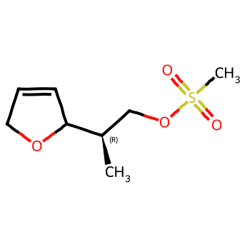 C[C@H](COS(C)(=O)=O)C1C=CCO1